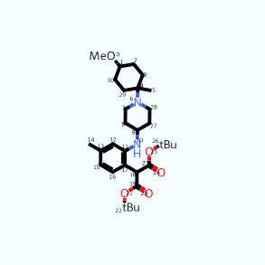 COC1CCC(C)(N2CCC(Nc3cc(C)ccc3C(C(=O)OC(C)(C)C)C(=O)OC(C)(C)C)CC2)CC1